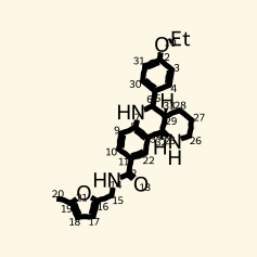 CCOc1ccc(C2Nc3ccc(C(=O)NCc4ccc(C)o4)cc3[C@H]3NCCC[C@@H]23)cc1